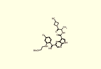 COCCNc1cc(Cl)ccc1C(=N)c1cnc2[nH]cc(C(=O)N[C@H](C)C(=O)N3CC(C#N)C3)c2n1